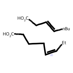 CC/C=C\CCCC(=O)O.CCCCC=CCC(=O)O